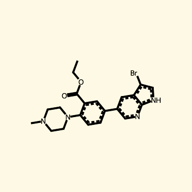 CCOC(=O)c1cc(-c2cnc3[nH]cc(Br)c3c2)ccc1N1CCN(C)CC1